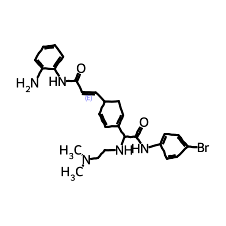 CN(C)CCNC(C(=O)Nc1ccc(Br)cc1)C1=CCC(/C=C/C(=O)Nc2ccccc2N)C=C1